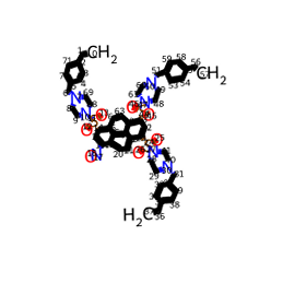 C=Cc1ccc(CN2CCN(S(=O)(=O)c3cc(N=O)c4ccc5c(S(=O)(=O)N6CCN(Cc7ccc(C=C)cc7)CC6)cc(S(=O)(=O)N6CCN(Cc7ccc(C=C)cc7)CC6)c6ccc3c4c56)CC2)cc1